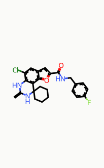 C=C1Nc2c(Cl)cc3cc(C(=O)NCc4ccc(F)cc4)oc3c2C2(CCCCC2)N1